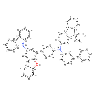 CC1(C)c2ccccc2-c2ccc(N(c3ccc(-c4cc(-n5c6ccccc6c6ccccc65)cc5c4oc4ccccc45)cc3)c3cccc(-c4ccccc4)c3)cc21